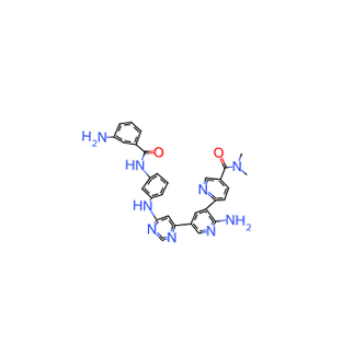 CN(C)C(=O)c1ccc(-c2cc(-c3cc(Nc4cccc(NC(=O)c5cccc(N)c5)c4)ncn3)cnc2N)nc1